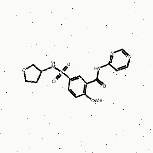 COc1ccc(S(=O)(=O)NC2CCOC2)cc1C(=O)Nc1ccncn1